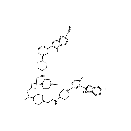 Cc1ccc(N2CCC(NCCN3CCN(C(C)CC4CC(CNC5CCN(c6cccc(-c7cc8cc(C#N)ccc8[nH]7)c6)CC5)(N5CCN(C)CC5)C4)CC3)CC2)cc1-c1cc2cc(F)ccc2[nH]1